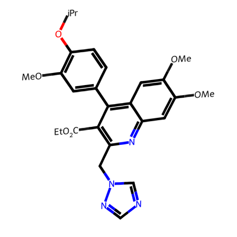 CCOC(=O)c1c(Cn2cncn2)nc2cc(OC)c(OC)cc2c1-c1ccc(OC(C)C)c(OC)c1